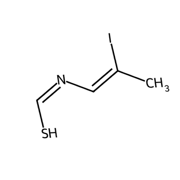 C/C(I)=C/N=C\S